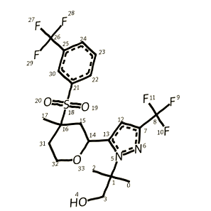 CC(C)(CO)n1nc(C(F)(F)F)cc1C1CC(C)(S(=O)(=O)c2cccc(C(F)(F)F)c2)CCO1